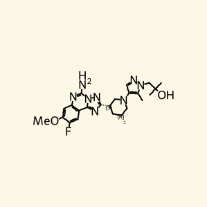 COc1cc2nc(N)n3nc([C@H]4C[C@@H](C)CN(c5cnn(CC(C)(C)O)c5C)C4)nc3c2cc1F